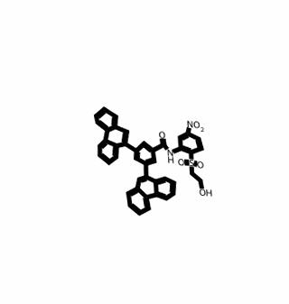 O=C(Nc1cc([N+](=O)[O-])ccc1S(=O)(=O)CCO)c1cc(-c2cc3ccccc3c3ccccc23)cc(-c2cc3ccccc3c3ccccc23)c1